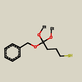 CCO[Si](CCCS)(OCC)OCc1ccccc1